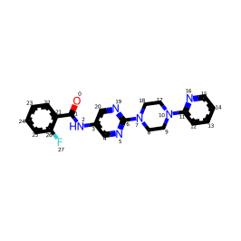 O=C(Nc1cnc(N2CCN(c3ccccn3)CC2)nc1)c1ccccc1F